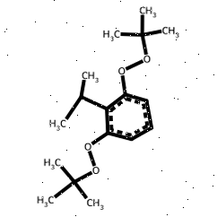 CC(C)c1c(OOC(C)(C)C)cccc1OOC(C)(C)C